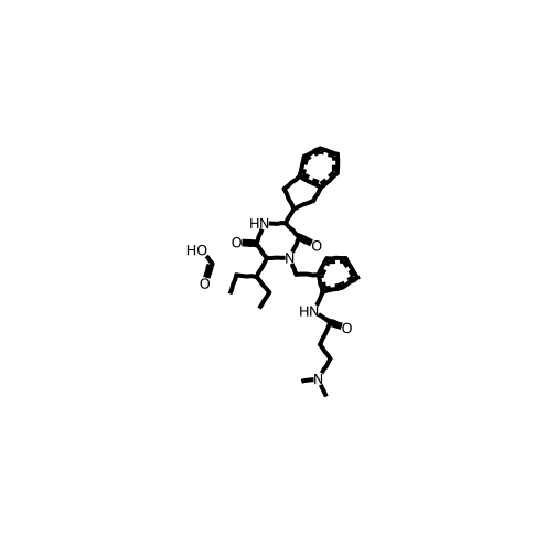 CCC(CC)C1C(=O)NC(C2Cc3ccccc3C2)C(=O)N1Cc1ccccc1NC(=O)CCN(C)C.O=CO